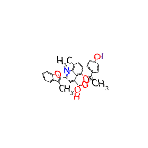 Cc1c(-c2cc(C(=O)O)c3c(O[C@@H](C)c4ccc(OI)cc4)ccc(C)c3n2)oc2ccccc12